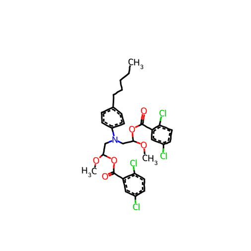 CCCCCc1ccc(N(CC(OC)OC(=O)c2cc(Cl)ccc2Cl)CC(OC)OC(=O)c2cc(Cl)ccc2Cl)cc1